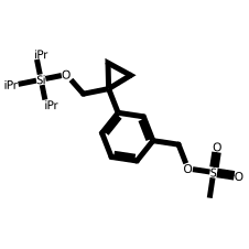 CC(C)[Si](OCC1(c2cccc(COS(C)(=O)=O)c2)CC1)(C(C)C)C(C)C